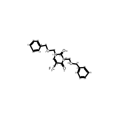 O=c1c(C(F)(F)F)cn(COCc2ccccc2)c(=O)n1COCc1ccccc1